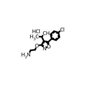 CC(C)c1c(OCCN)noc1-c1ccc(Cl)cc1.Cl